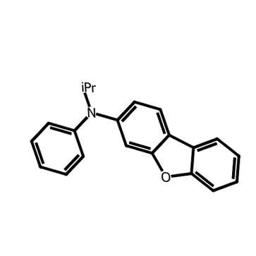 CC(C)N(c1ccccc1)c1ccc2c(c1)oc1ccccc12